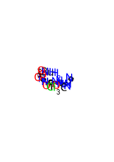 Cn1c(-c2cn(Cc3cccnc3)nc2C(F)(F)F)cnc1C(=O)Nc1ccc(C(=O)N2CCN(C(=O)[C@H](CC(C)(C)C)OC(N)=O)CC2)c(Cl)c1